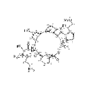 CCn1c(-c2ccccc2CCOC)c2c3cc(ccc31)-c1cc(O)cc(c1)C[C@H](NC(=O)[C@H](C(C)C)N(C)C(=O)CCN)C(=O)N1CCC[C@H](N1)C(=O)OCC(C)(C)C2